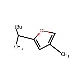 Cc1coc(C(C)C(C)(C)C)c1